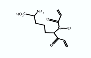 C=CC(=O)C(CCCC(N)C(=O)O)N(CC)C(=O)C=C